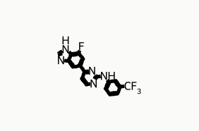 Fc1cc(-c2ccnc(Nc3cccc(C(F)(F)F)c3)n2)cc2nc[nH]c12